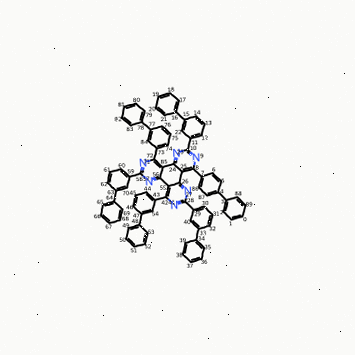 c1ccc(-c2ccc(-c3nc(-c4cccc(-c5ccccc5)c4)nc4c3c3nc(-c5cccc(-c6ccccc6)c5)nc(-c5cccc(-c6ccccc6)c5)c3c3nc(-c5cccc(-c6ccccc6)c5)nc(-c5cccc(-c6ccccc6)c5)c43)cc2)cc1